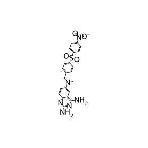 CN(Cc1ccc(S(=O)(=O)c2ccc([N+](=O)[O-])cc2)cc1)c1ccc2nc(N)nc(N)c2c1